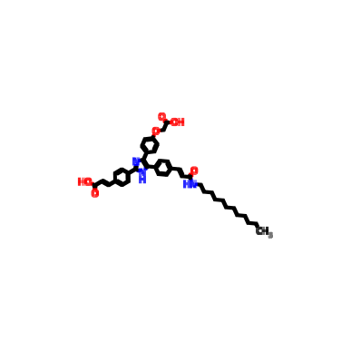 CCCCCCCCCCCCNC(=O)C=Cc1ccc(-c2[nH]c(-c3ccc(C=CC(=O)O)cc3)nc2-c2ccc(OCC(=O)O)cc2)cc1